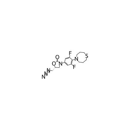 [N-]=[N+]=NC[C@H]1CN(c2cc(F)c(N3CCCSCCC3)c(F)c2)C(=O)O1